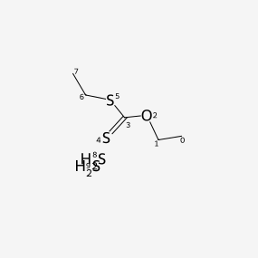 CCOC(=S)SCC.S.S